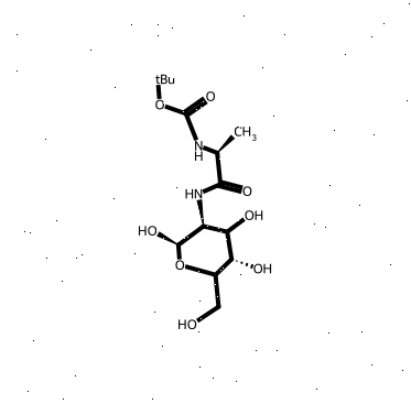 C[C@H](NC(=O)OC(C)(C)C)C(=O)N[C@H]1C(O)[C@H](O)C(CO)O[C@H]1O